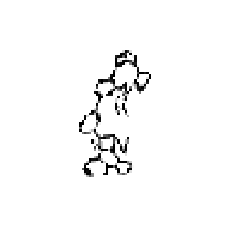 Cc1c2cccc1-c1ccc(-c3cccc(-c4cnc5c6ccccc6c6ccccc6c5n4)c3)cc1Nc1ccccc1-2